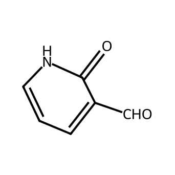 O=Cc1ccc[nH]c1=O